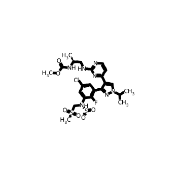 COC(=O)N[C@@H](C)CNc1nccc(-c2cn(C(C)C)nc2-c2cc(Cl)cc(N(CS(C)(=O)=O)[SH](=O)=O)c2F)n1